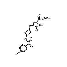 COC(=O)C1CC(OC2CC(OS(=O)(=O)c3ccc(C)cc3)C2)C(=O)N1